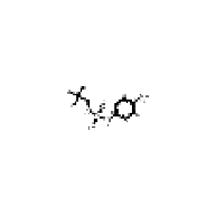 CC(C)(C)COS(=O)(=O)Oc1ccc(S)cc1